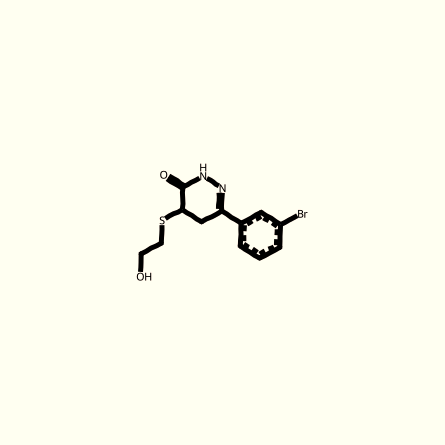 O=C1NN=C(c2cccc(Br)c2)CC1SCCO